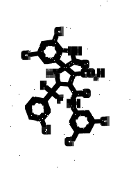 O=C(Nc1cc(Cl)cc(Cl)c1)C1C(C(F)(F)c2cccc(Cl)c2)NC2(C(=O)Nc3c(Cl)cc(Cl)cc32)C1C(=O)O